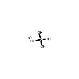 O[Si](O)(O)O.[O]